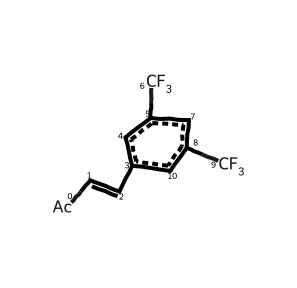 CC(=O)C=Cc1cc(C(F)(F)F)cc(C(F)(F)F)c1